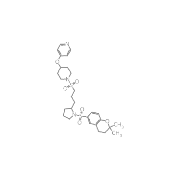 CC1(C)CCc2cc(S(=O)(=O)N3CCCC3CCCS(=O)(=O)N3CCC(Oc4ccncc4)CC3)ccc2O1